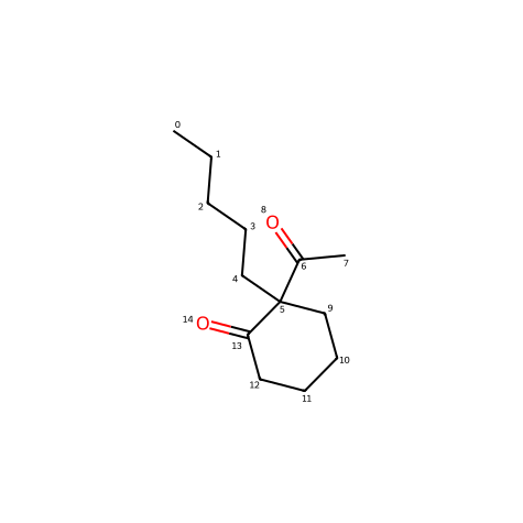 CCCCCC1(C(C)=O)CCCCC1=O